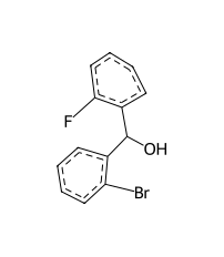 OC(c1ccccc1F)c1ccccc1Br